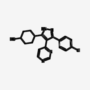 OC1CCC(c2[nH]nc(-c3ccc(Cl)cc3)c2-c2ccncn2)CC1